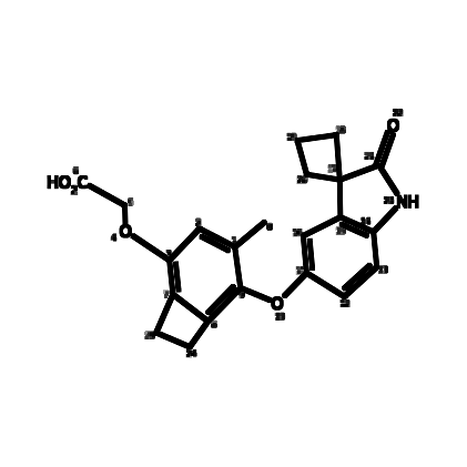 Cc1cc(OCC(=O)O)c2c(c1Oc1ccc3c(c1)C1(CCC1)C(=O)N3)CC2